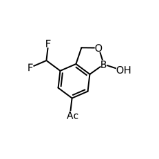 CC(=O)c1cc2c(c(C(F)F)c1)COB2O